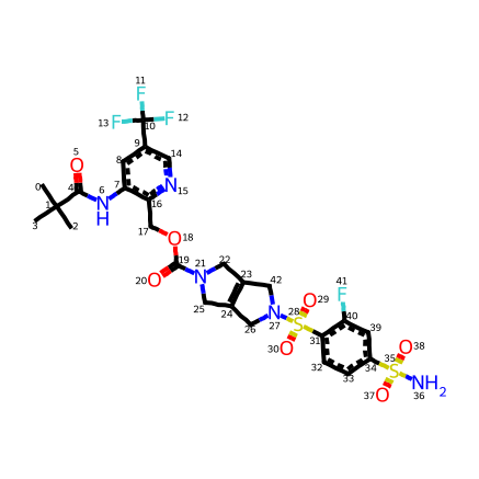 CC(C)(C)C(=O)Nc1cc(C(F)(F)F)cnc1COC(=O)N1CC2=C(C1)CN(S(=O)(=O)c1ccc(S(N)(=O)=O)cc1F)C2